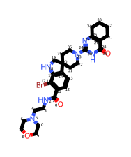 O=C(NCCN1CCOCC1)c1ccc2c(c1Br)NCC21CCN(c2nc3c(c(=O)[nH]2)CCCC3)CC1